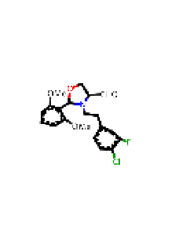 COc1cccc(OC)c1C1OCC(C=O)N1CCc1ccc(Cl)c(F)c1